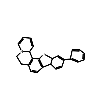 C1=CC2c3c(ccc4c3OC3C=C(c5ccccc5)C=CC43)CCN2C=C1